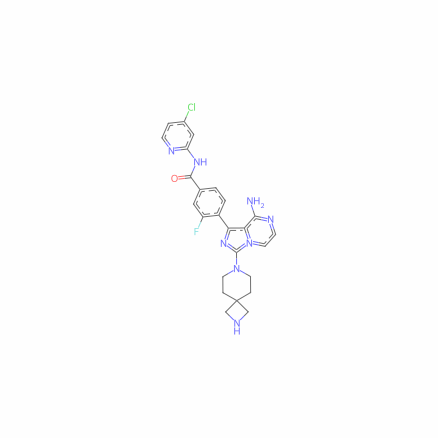 Nc1nccn2c(N3CCC4(CC3)CNC4)nc(-c3ccc(C(=O)Nc4cc(Cl)ccn4)cc3F)c12